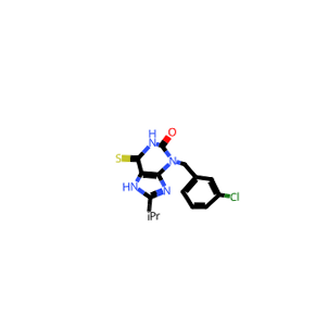 CC(C)c1nc2c([nH]1)c(=S)[nH]c(=O)n2Cc1cccc(Cl)c1